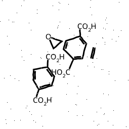 C1CO1.C=C.O=C(O)c1ccc(C(=O)O)cc1.O=C(O)c1ccc(C(=O)O)cc1